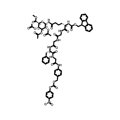 COC(=O)[C@H]1O[C@H](NC(=O)CCC[C@H](NC(=O)OCC2c3ccccc3-c3ccccc32)C(=O)NCC(=O)NCC(=O)N[C@@H](Cc2ccccc2)C(=O)NCC(=O)Nc2ccc(COC(=O)Oc3ccc([N+](=O)[O-])cc3)cc2)[C@H](OC(C)=O)[C@@H](OC(C)=O)[C@@H]1OC(C)=O